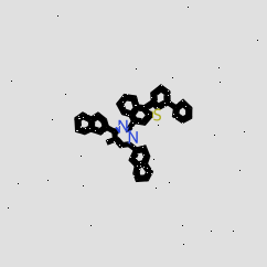 CC1=CC(c2ccc3ccccc3c2)N=C(c2cc3sc4c(-c5ccccc5)cccc4c3c3ccccc23)N=C1c1ccc2ccccc2c1